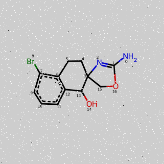 NC1=NC2(CCc3c(Br)cccc3C2O)CO1